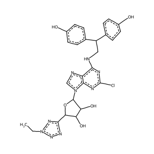 CCn1nnc(C2OC(n3cnc4c(NCC(c5ccc(O)cc5)c5ccc(O)cc5)nc(Cl)nc43)C(O)C2O)n1